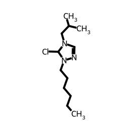 CCCCCCN1N=CN(CC(C)C)C1Cl